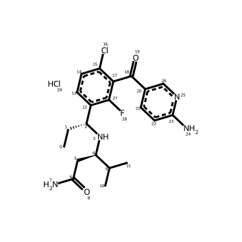 CC[C@@H](N[C@H](CC(N)=O)C(C)C)c1ccc(Cl)c(C(=O)c2ccc(N)nc2)c1F.Cl